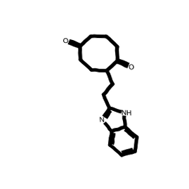 O=C1CCCC(=O)C(CCc2nc3ccccc3[nH]2)CC1